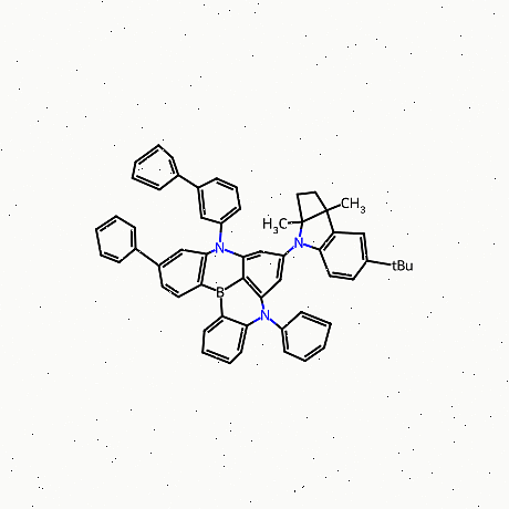 CC(C)(C)c1ccc2c(c1)C1(C)CCC1(C)N2c1cc2c3c(c1)N(c1cccc(-c4ccccc4)c1)c1cc(-c4ccccc4)ccc1B3c1ccccc1N2c1ccccc1